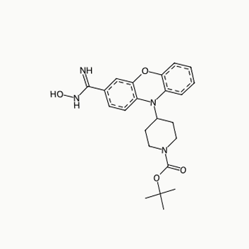 CC(C)(C)OC(=O)N1CCC(N2c3ccccc3Oc3cc(C(=N)NO)ccc32)CC1